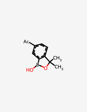 CC(=O)c1ccc2c(c1)B(O)OC2(C)C